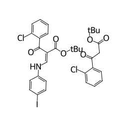 CC(C)(C)OC(=O)C(=CNc1ccc(I)cc1)C(=O)c1ccccc1Cl.CC(C)(C)OC(=O)CC(=O)c1ccccc1Cl